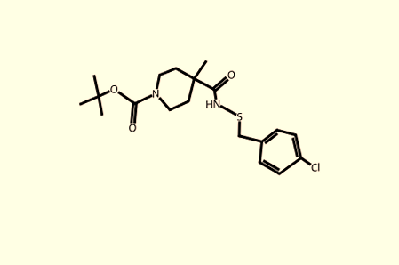 CC(C)(C)OC(=O)N1CCC(C)(C(=O)NSCc2ccc(Cl)cc2)CC1